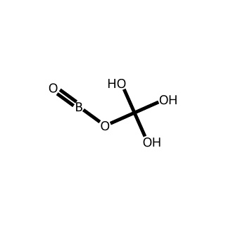 O=BOC(O)(O)O